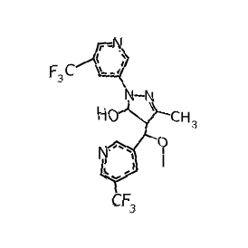 CC1=NN(c2cncc(C(F)(F)F)c2)C(O)C1C(OI)c1cncc(C(F)(F)F)c1